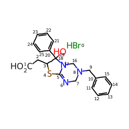 Br.O=C(O)CC1SC2=NCN(Cc3ccccc3)CN2C1(O)c1ccccc1